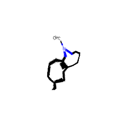 Cc1ccc2c(c1)CCCN2C=O